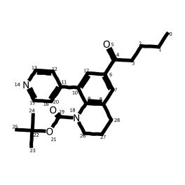 CCCCC(=O)c1cc2c(c(-c3ccncc3)c1)N(C(=O)OC(C)(C)C)CCC2